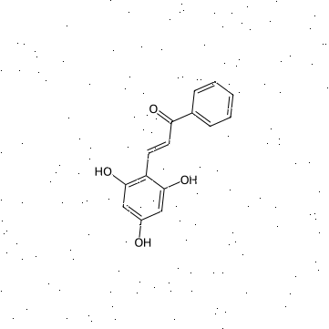 O=C(C=Cc1c(O)cc(O)cc1O)c1ccccc1